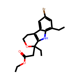 CCOC(=O)CC1(CC)OCCc2c1[nH]c1c(CC)cc(Br)cc21